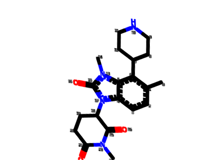 Cc1ccc2c(c1C1CCNCC1)n(C)c(=O)n2C1CCC(=O)N(C)C1=O